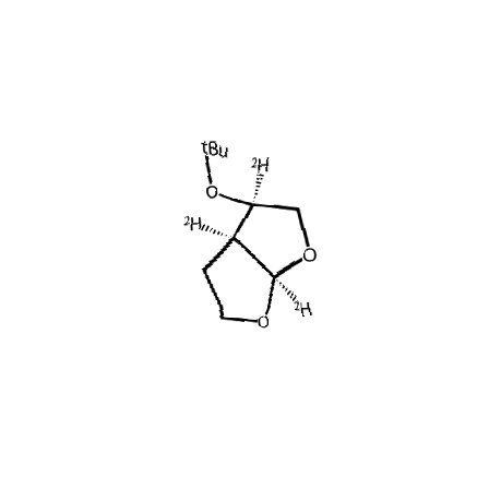 [2H][C@]12OCC[C@@]1([2H])[C@@]([2H])(OC(C)(C)C)CO2